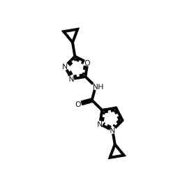 O=C(Nc1nnc(C2CC2)o1)c1ccn(C2CC2)n1